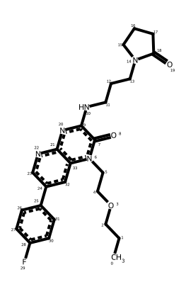 CCCOCCn1c(=O)c(NCCCN2CCCC2=O)nc2ncc(-c3ccc(F)cc3)cc21